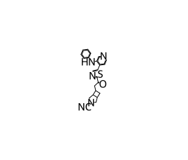 N#CN1CC2CC(CC(=O)c3ncc(-c4ccncc4Nc4ccccc4)s3)C2C1